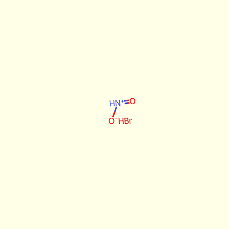 Br.O=[NH+][O-]